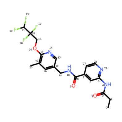 CCC(=O)Nc1cc(C(=O)NCc2cnc(OCC(F)(F)C(F)F)c(C)c2)ccn1